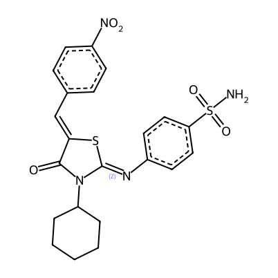 NS(=O)(=O)c1ccc(/N=C2\SC(=Cc3ccc([N+](=O)[O-])cc3)C(=O)N2C2CCCCC2)cc1